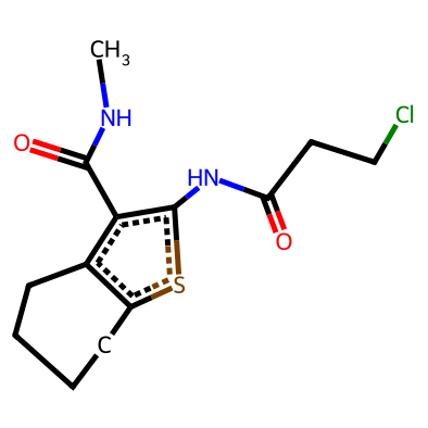 CNC(=O)c1c(NC(=O)CCCl)sc2c1CCCC2